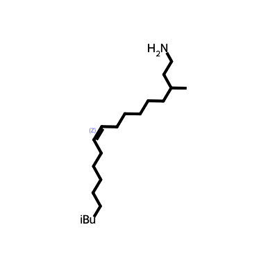 CCC(C)CCCCC/C=C\CCCCCC(C)CCN